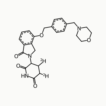 [2H]C1C(=O)NC(=O)C(N2Cc3c(OCc4ccc(CN5CCOCC5)cc4)cccc3C2=O)C1[2H]